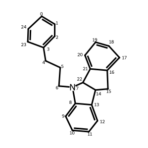 c1ccc(CCCN2c3ccccc3C3Cc4ccccc4C32)cc1